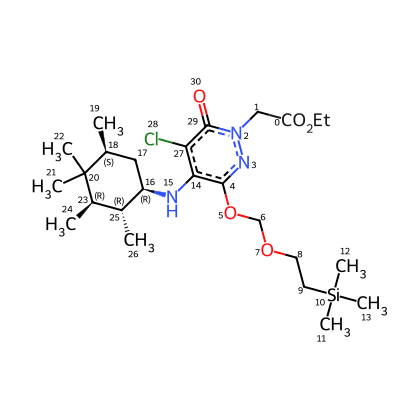 CCOC(=O)Cn1nc(OCOCC[Si](C)(C)C)c(N[C@@H]2C[C@H](C)C(C)(C)[C@H](C)[C@H]2C)c(Cl)c1=O